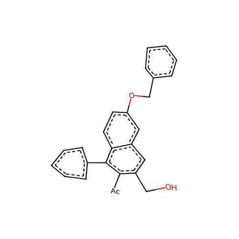 CC(=O)c1c(CO)cc2cc(OCc3ccccc3)ccc2c1-c1ccccc1